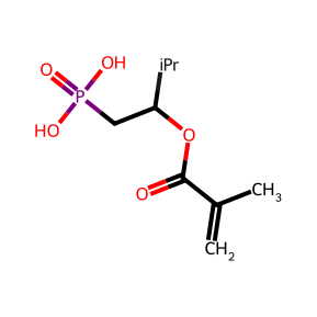 C=C(C)C(=O)OC(CP(=O)(O)O)C(C)C